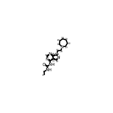 CCNC(=O)Nc1ncnc2c1cnn2CCN1CCCCCC1